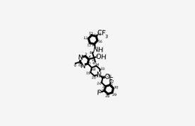 Cc1ncc(C(C)(O)CNc2cccc(C(F)(F)F)c2)c(C2CCN(C(=O)Cc3c(F)cccc3F)CC2)n1